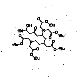 CC(C)(C)OC(=O)CC(CCN(CC(=O)OC(C)(C)C)CC(=O)OC(C)(C)C)CC(CC(=O)CC([NH])O)N(CC(=O)OC(C)(C)C)CC(=O)OC(C)(C)C